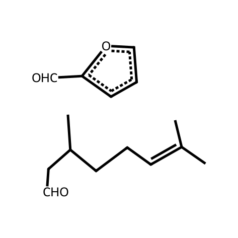 CC(C)=CCCC(C)CC=O.O=Cc1ccco1